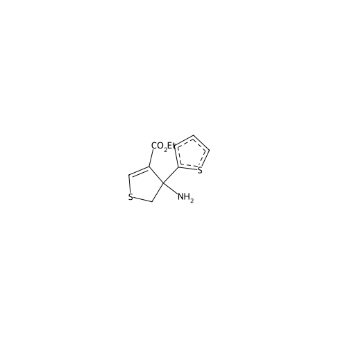 CCOC(=O)C1=CSCC1(N)c1cccs1